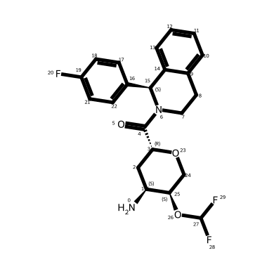 N[C@H]1C[C@H](C(=O)N2CCc3ccccc3[C@@H]2c2ccc(F)cc2)OC[C@H]1OC(F)F